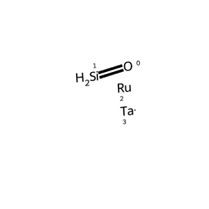 O=[SiH2].[Ru].[Ta]